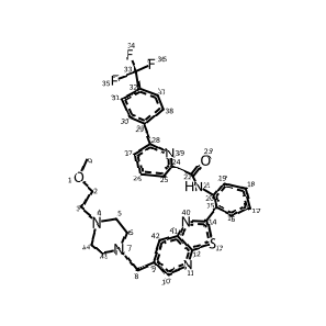 COCCN1CCN(Cc2cnc3sc(-c4ccccc4NC(=O)c4cccc(-c5ccc(C(F)(F)F)cc5)n4)nc3c2)CC1